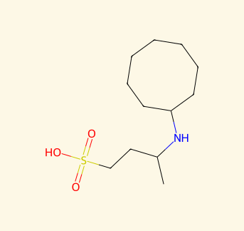 CC(CCS(=O)(=O)O)NC1CCCCCCC1